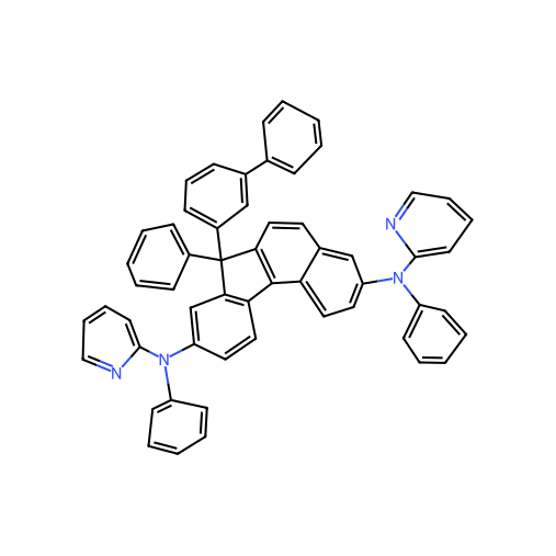 c1ccc(-c2cccc(C3(c4ccccc4)c4cc(N(c5ccccc5)c5ccccn5)ccc4-c4c3ccc3cc(N(c5ccccc5)c5ccccn5)ccc43)c2)cc1